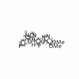 COc1cc2ncnc(Oc3ccc(Nc4nccc5c4c(=O)c(-c4ccc(F)cc4)cn5C)cc3F)c2cc1OC